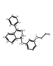 CCCOc1cccc(Oc2nnc(-c3ccccc3)c3ccccc23)c1